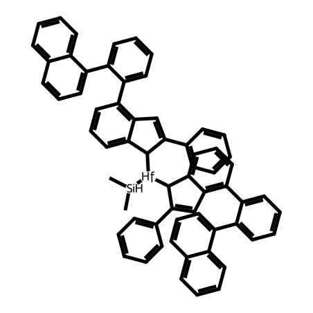 C[SiH](C)[Hf]([CH]1C(c2ccccc2)=Cc2c(-c3ccccc3-c3cccc4ccccc34)cccc21)[CH]1C(c2ccccc2)=Cc2c(-c3ccccc3-c3cccc4ccccc34)cccc21